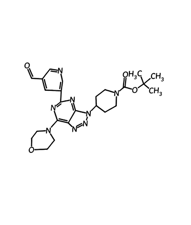 CC(C)(C)OC(=O)N1CCC(n2nnc3c(N4CCOCC4)nc(-c4cncc(C=O)c4)nc32)CC1